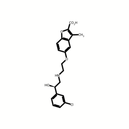 Cc1c(C(=O)O)oc2ccc(OCCNC[C@H](O)c3cccc(Cl)c3)cc12